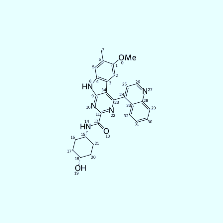 COc1cc2c(cc1C)[nH]c1nc(C(=O)N[C@H]3CC[C@@H](O)CC3)nc(-c3ccnc4ccccc34)c12